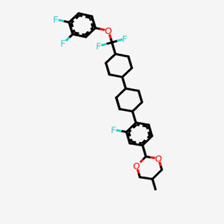 CC1COC(c2ccc(C3CCC(C4CCC(C(F)(F)Oc5ccc(F)c(F)c5)CC4)CC3)c(F)c2)OC1